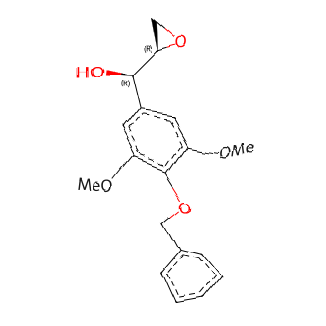 COc1cc([C@@H](O)[C@H]2CO2)cc(OC)c1OCc1ccccc1